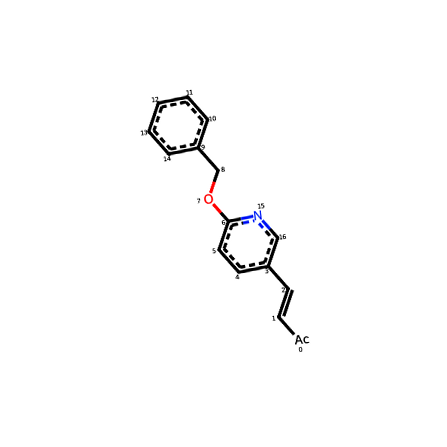 CC(=O)C=Cc1ccc(OCc2ccccc2)nc1